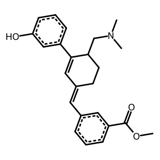 COC(=O)c1cccc(/C=C2/C=C(c3cccc(O)c3)C(CN(C)C)CC2)c1